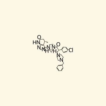 C[C@@H]1CC(=O)Nc2ncnc(N3CCN(C(=O)[C@H](CN4CCN(Cc5ccccc5)CC4)c4ccc(Cl)cc4)[C@@H]4C[C@@H]43)c21